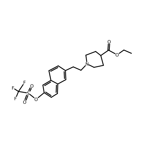 CCOC(=O)C1CCN(CCc2ccc3cc(OS(=O)(=O)C(F)(F)F)ccc3c2)CC1